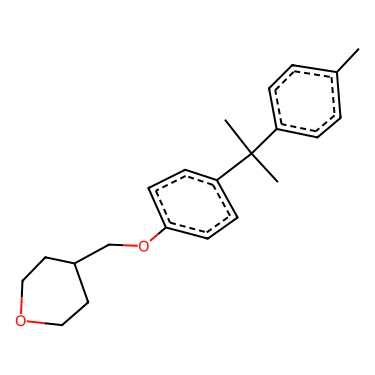 Cc1ccc(C(C)(C)c2ccc(OCC3CCOCC3)cc2)cc1